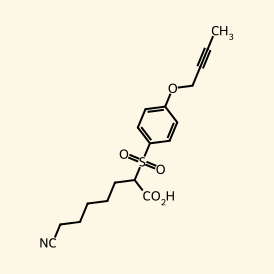 CC#CCOc1ccc(S(=O)(=O)C(CCCCCC#N)C(=O)O)cc1